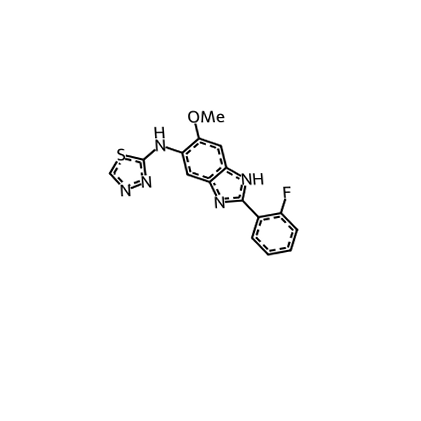 COc1cc2[nH]c(-c3ccccc3F)nc2cc1Nc1nncs1